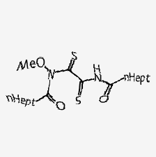 CCCCCCCC(=O)NC(=S)C(=S)N(OC)C(=O)CCCCCCC